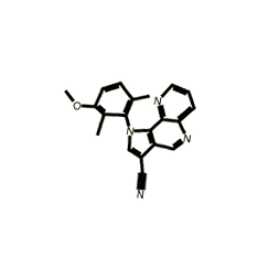 COc1ccc(C)c(-n2cc(C#N)c3cnc4cccnc4c32)c1C